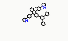 C[C@H]1C=C(C2=NC=CCC2)CCC1c1c2ccccc2c(-c2ccc(-c3ccccn3)cc2)c2ccc(C3=CC(c4ccccc4)CC(C4=CC=CCC4)=C3)cc12